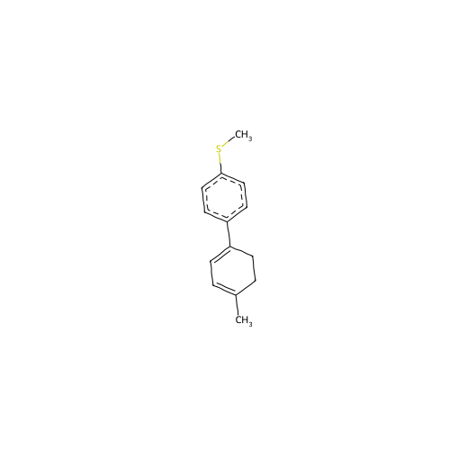 CSc1ccc(C2=CC=C(C)CC2)cc1